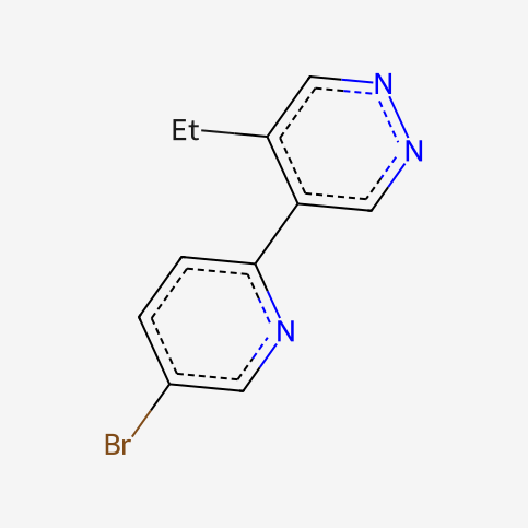 CCc1cnncc1-c1ccc(Br)cn1